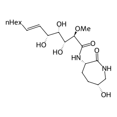 CCCCCC/C=C/[C@@H](O)[C@H](O)[C@@H](O)[C@@H](OC)C(=O)N[C@H]1CC[C@@H](O)CNC1=O